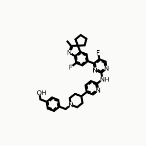 CC1=Nc2c(F)cc(-c3nc(Nc4ccc(C5CCN(Cc6ccc(CO)cc6)CC5)cn4)ncc3F)cc2C12CCCC2